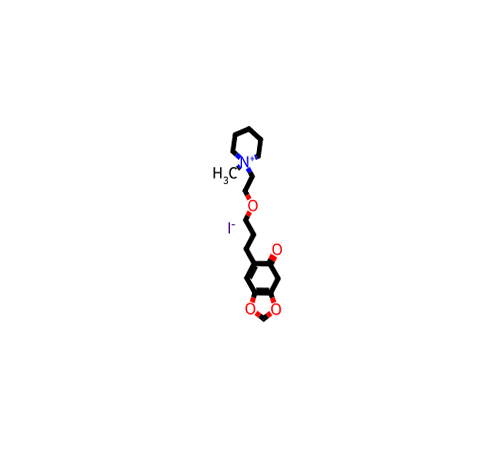 C[N+]1(CCOCCCC2=CC3=C(CC2=O)OCO3)CCCCC1.[I-]